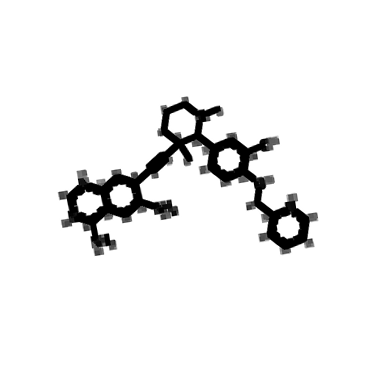 CN1CCCC(C)(C#Cc2cc3ncnc(N)c3cc2N)C1c1ccc(OCc2ccccn2)c(Cl)c1